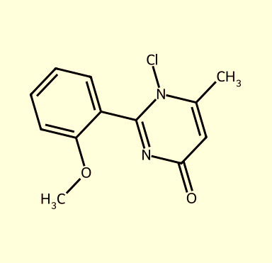 COc1ccccc1-c1nc(=O)cc(C)n1Cl